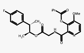 COc1ccnc(C(=O)NCC(=O)O[C@@H](C)[C@@H](C)c2ccc(F)cc2)c1OC(=O)C(C)C